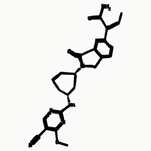 CC=C(C(N)=O)c1ccc2c(c1)C(=O)N([C@H]1CCC[C@@H](Nc3ncc(C#N)c(OC)n3)C1)C2